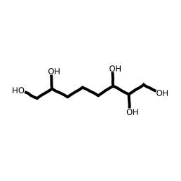 O[CH]C(O)C(O)CCCC(O)CO